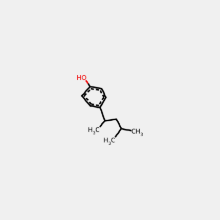 CC(C)CC(C)c1ccc(O)cc1